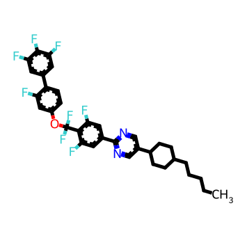 CCCCCC1CCC(c2cnc(-c3cc(F)c(C(F)(F)Oc4ccc(-c5cc(F)c(F)c(F)c5)c(F)c4)c(F)c3)nc2)CC1